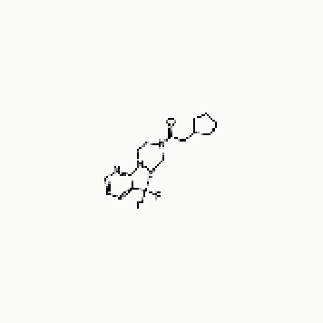 O=C(CC1CCCC1)N1CCN(c2ncccc2C(F)(F)F)CC1